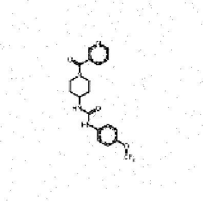 O=C(Nc1ccc(OC(F)(F)F)cc1)NC1CCN(C(=O)c2cccnc2)CC1